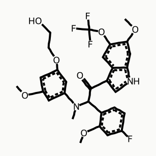 COc1cc(OCCO)cc(N(C)C(C(=O)c2c[nH]c3cc(OC)c(OC(F)(F)F)cc23)c2ccc(F)cc2OC)c1